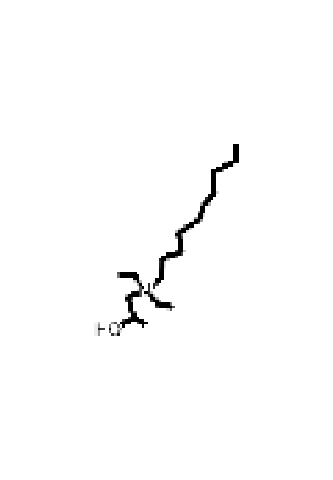 CCCCCCCCCC[N+](CC)(CC)CC(C)O